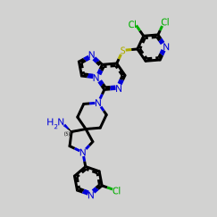 N[C@@H]1CN(c2ccnc(Cl)c2)CC12CCN(c1ncc(Sc3ccnc(Cl)c3Cl)c3nccn13)CC2